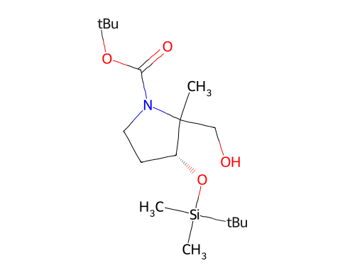 CC(C)(C)OC(=O)N1CC[C@@H](O[Si](C)(C)C(C)(C)C)C1(C)CO